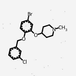 CN1CCC(Oc2cc(Br)ccc2OCc2cccc(Cl)c2)CC1